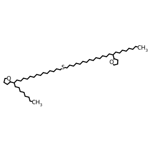 CCCCCCCCC(CCCCCCCCCCCCCCSCCCCCCCCCCCCCCC(CCCCCCCC)C1CCCO1)C1CCCO1